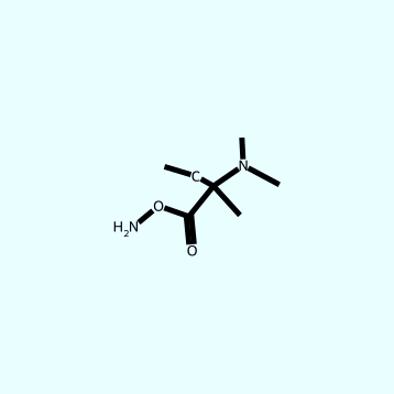 CCC(C)(C(=O)ON)N(C)C